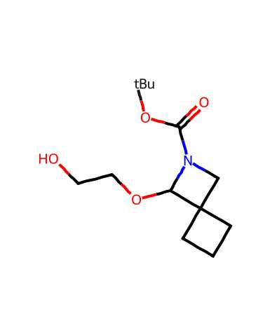 CC(C)(C)OC(=O)N1CC2(CCC2)C1OCCO